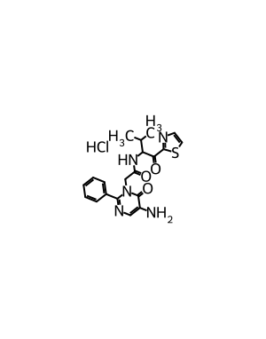 CC(C)C(NC(=O)Cn1c(-c2ccccc2)ncc(N)c1=O)C(=O)c1nccs1.Cl